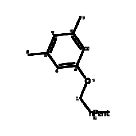 [CH2]CCCCCOc1cc(C)cc(C)c1